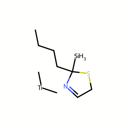 CCCCC1([SiH3])N=CCS1.[CH3][Ti][CH3]